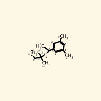 [CH2]c1cc(C)cc(C(C)CC(C)(C)CC)c1